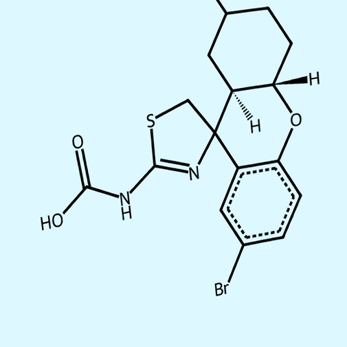 O=C(O)NC1=NC2(CS1)c1cc(Br)ccc1O[C@H]1CCC(O)C[C@@H]12